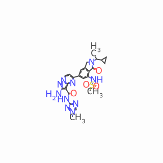 CC(C1CC1)N1Cc2cc(-c3ccn4nc(N)c(C(=O)Nc5ncn(C)n5)c4n3)cc(NS(C)(=O)=O)c2C1=O